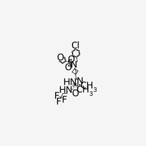 CC1(C)N=C(C23CC(N(Cc4ccc(Cl)cc4)S(=O)(=O)c4ccoc4)(C2)C3)N[C@H]1C(=O)NCCC(F)(F)F